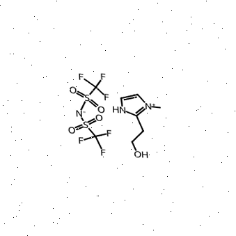 C[n+]1cc[nH]c1CCO.O=S(=O)([N-]S(=O)(=O)C(F)(F)F)C(F)(F)F